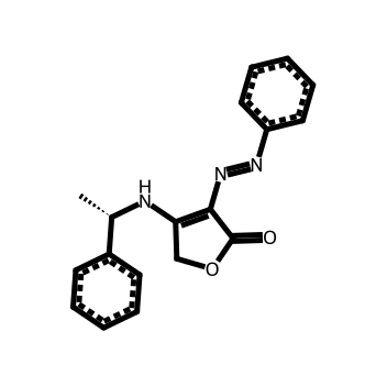 C[C@H](NC1=C(N=Nc2ccccc2)C(=O)OC1)c1ccccc1